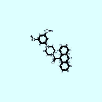 COc1cc(OC)cc(N2CCN(C(=O)c3c4ccccc4cc4ccccc34)CC2)c1